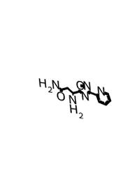 NC(=O)C[C@H](N)c1nc(-c2ccccn2)no1